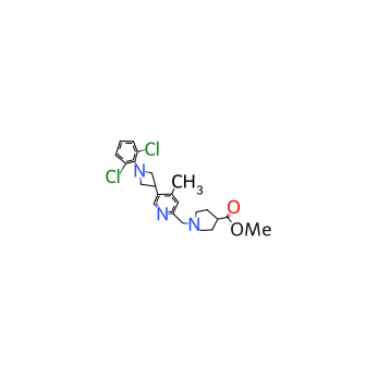 COC(=O)C1CCN(Cc2cc(C)c(C3CN(c4c(Cl)cccc4Cl)C3)cn2)CC1